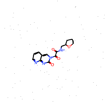 O=C(NCC1CCCO1)C(=O)n1cc2cccnc2nc1=O